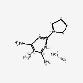 Cl.Cl.Nc1nc(N2CCCC2)nc(N)c1N